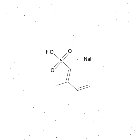 C=CC(C)=CS(=O)(=O)O.[NaH]